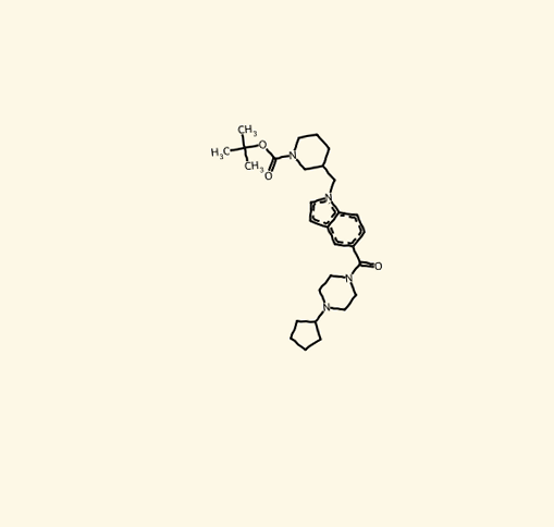 CC(C)(C)OC(=O)N1CCCC(Cn2ccc3cc(C(=O)N4CCN(C5CCCC5)CC4)ccc32)C1